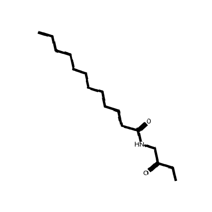 CCCCCCCCCCCC(=O)NCC(=O)CC